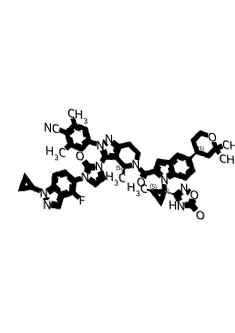 Cc1cc(-n2nc3c(c2-n2ccn(-c4ccc5c(cnn5C5CC5)c4F)c2=O)[C@H](C)N(C(=O)c2cc4cc([C@H]5CCOC(C)(C)C5)ccc4n2[C@@]2(c4noc(=O)[nH]4)C[C@@H]2C)CC3)cc(C)c1C#N